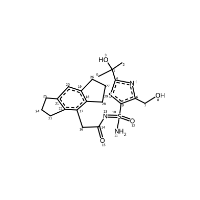 CC(C)(O)c1nc(CO)c(S(N)(=O)=NC(=O)Cc2c3c(cc4c2CCC4)CCC3)s1